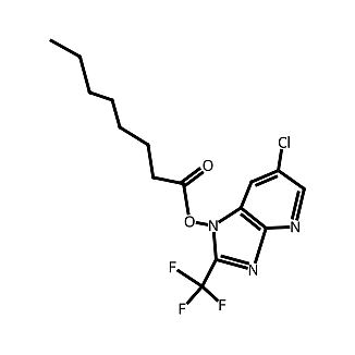 CCCCCCCC(=O)On1c(C(F)(F)F)nc2ncc(Cl)cc21